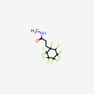 CNC(=O)CCC1(F)C(F)C(F)(F)C(F)(F)C(F)(F)C1(F)F